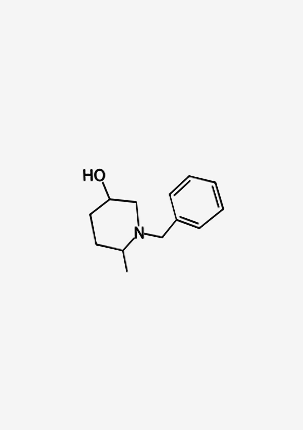 CC1CCC(O)CN1Cc1ccccc1